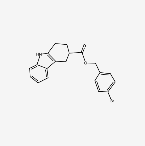 O=C(OCc1ccc(Br)cc1)C1CCc2[nH]c3ccccc3c2C1